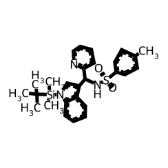 Cc1ccc(S(=O)(=O)NC(c2ccccn2)c2cn([Si](C)(C)C(C)(C)C)c3ccccc23)cc1